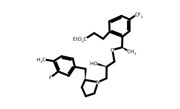 CCOC(=O)CCc1ccc(C(F)(F)F)cc1[C@@H](C)OC[C@H](O)CN1CCC[C@H]1Cc1ccc(C)c(F)c1